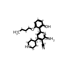 CCCCOc1cccc(O)c1-c1cc(C2CCNCC2)c(C#N)c(N)n1